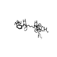 CC(C)S(=O)(=O)NCCCCC(=O)Nc1cccc2nsnc12